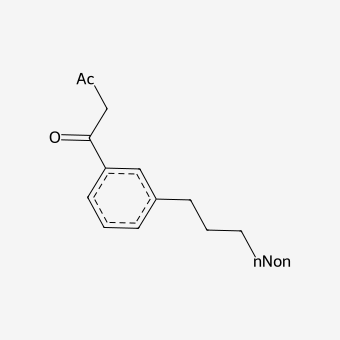 CCCCCCCCCCCCc1cccc(C(=O)CC(C)=O)c1